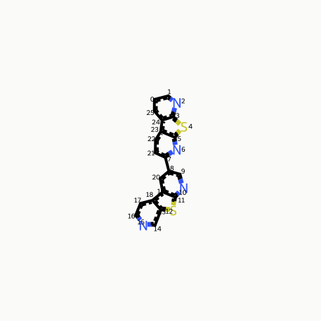 c1cnc2sc3nc(-c4cnc5sc6cnccc6c5c4)ccc3c2c1